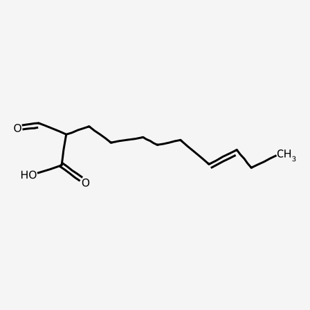 CCC=CCCCCCC(C=O)C(=O)O